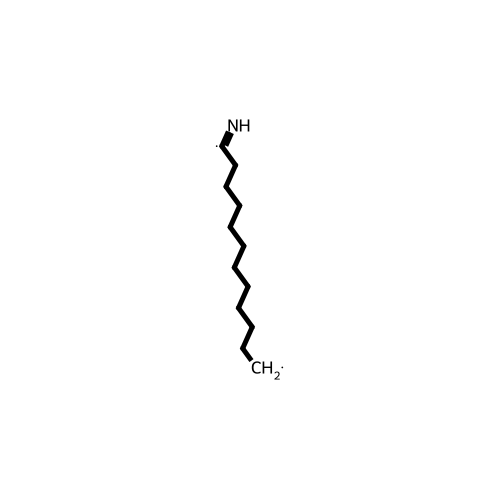 [CH2]CCCCCCCCCC[C]=N